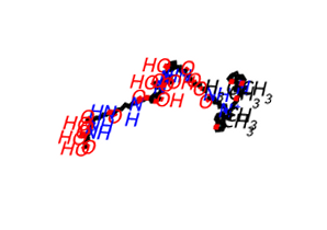 CN1/C(=C/C=C/C=C/C2=[N+](CCCCCC(=O)NCCOCCOCCNC(=O)CCc3ccc(O)c(CN(CCN(CC(=O)O)Cc4cc(CCC(=O)NCCCCCC(=O)NCCCCC(NC(=O)NC(CCC(=O)O)C(=O)O)C(=O)O)ccc4O)CC(=O)O)c3)c3ccc4ccccc4c3C2(C)C)C(C)(C)c2c1ccc1ccccc21